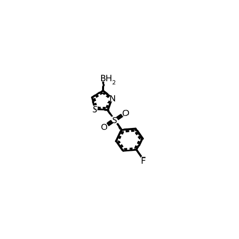 Bc1csc(S(=O)(=O)c2ccc(F)cc2)n1